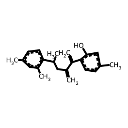 C=C(CC(C)c1ccc(C)cc1C)C(=C)c1ccc(C)cc1O